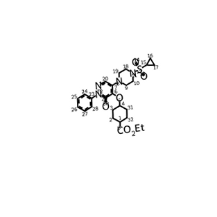 CCOC(=O)C1CCC(Oc2c(N3CCN(S(=O)(=O)C4CC4)CC3)cnn(-c3ccccc3)c2=O)CC1